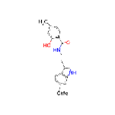 COc1ccc2c(CCNC(=O)c3ccc(C)cc3O)c[nH]c2c1